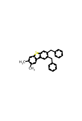 Cc1cc2sc3cc(Cc4ccccc4)c(Cc4ccccc4)cc3c2cc1C